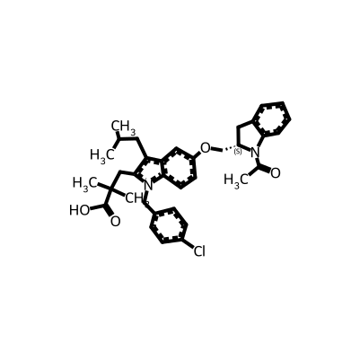 CC(=O)N1c2ccccc2C[C@H]1COc1ccc2c(c1)c(CC(C)C)c(CC(C)(C)C(=O)O)n2Cc1ccc(Cl)cc1